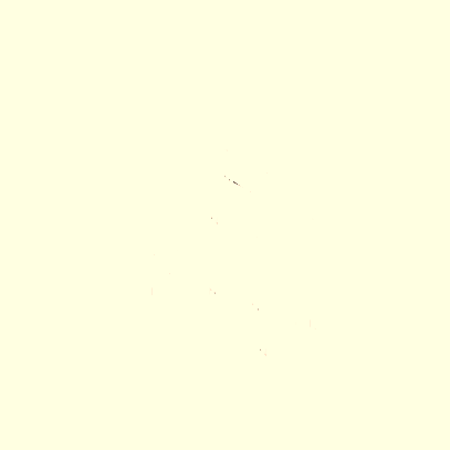 Cc1nccc(N2C[C@H]3C[C@H]3c3nc([C@]4(NC(=O)c5ccc(F)cc5)C[C@@H]4C)ccc32)n1